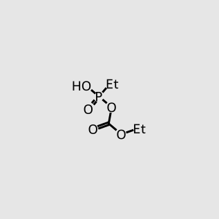 CCOC(=O)OP(=O)(O)CC